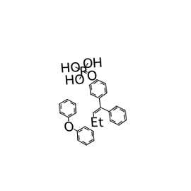 CCC=C(c1ccccc1)c1ccccc1.O=P(O)(O)O.c1ccc(Oc2ccccc2)cc1